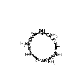 CC1=CCN(O)CCCC(N)COCCC(C)=CCN(O)CCCC(N)COCCC(C)=CCN(O)CCCC(N)COCC1